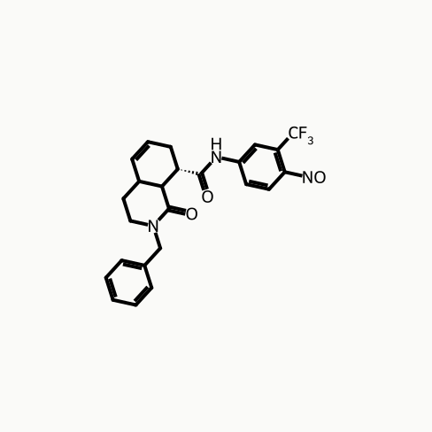 O=Nc1ccc(NC(=O)[C@H]2CC=CC3CCN(Cc4ccccc4)C(=O)C32)cc1C(F)(F)F